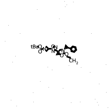 C=CCOC(=O)N(CC1(c2noc(C3CN(C(=O)OC(C)(C)C)C3)n2)CC1)C1CC1c1ccccc1